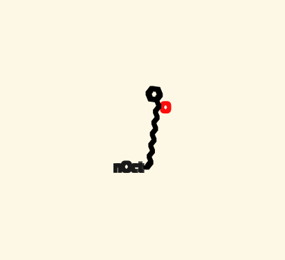 CCCCCCCC/C=C\CCCCCCCCCC(=O)c1ccccc1